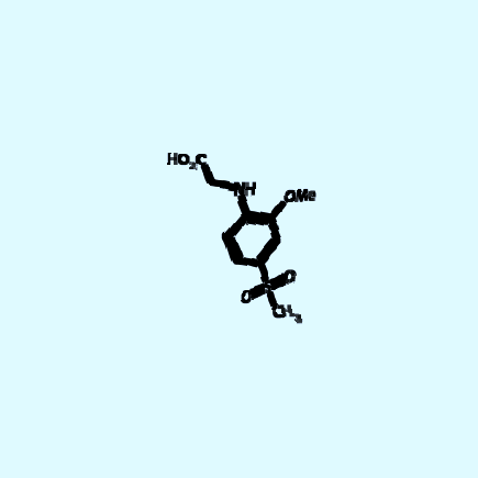 COc1cc(S(C)(=O)=O)ccc1NCC(=O)O